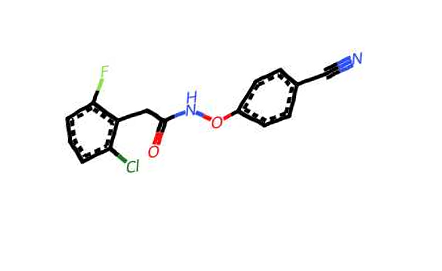 N#Cc1ccc(ONC(=O)Cc2c(F)cccc2Cl)cc1